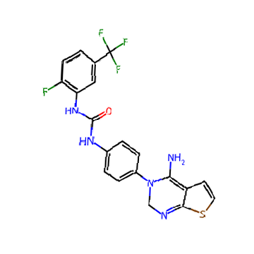 NC1=c2ccsc2=NCN1c1ccc(NC(=O)Nc2cc(C(F)(F)F)ccc2F)cc1